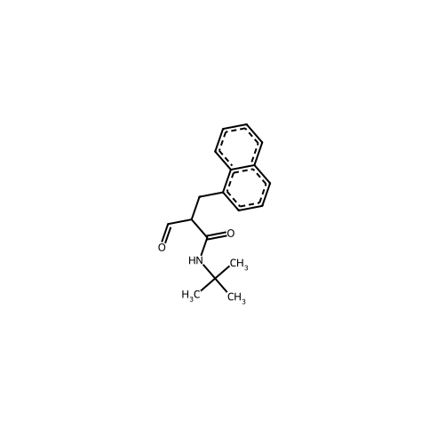 CC(C)(C)NC(=O)C(C=O)Cc1cccc2ccccc12